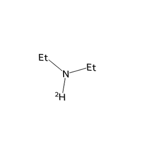 [2H]N(CC)CC